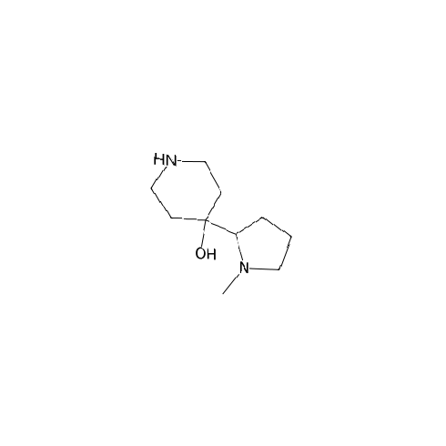 CN1CCCC1C1(O)CCNCC1